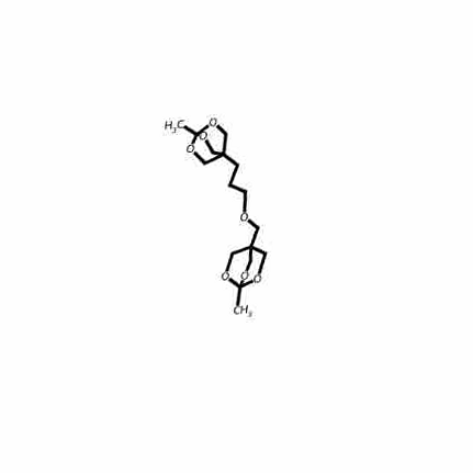 CC12OCC(CCCOCC34COC(C)(OC3)OC4)(CO1)CO2